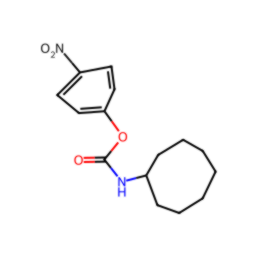 O=C(NC1CCCCCCC1)Oc1ccc([N+](=O)[O-])cc1